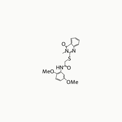 COc1ccc(OC)c(NC(=O)CSc2nc3ccccc3c(=O)n2C)c1